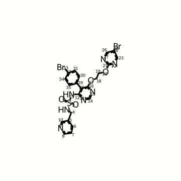 O=S(=O)(NCc1cccnc1)Nc1ncnc(OCCOc2ncc(Br)cn2)c1-c1ccc(Br)cc1